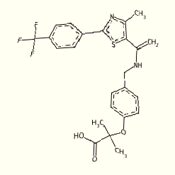 C=C(NCc1ccc(OC(C)(C)C(=O)O)cc1)c1sc(-c2ccc(C(F)(F)F)cc2)nc1C